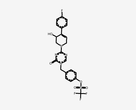 O=c1nc(N2CC=C(c3ccc(F)cc3)C(O)C2)ncn1Cc1ccc(OS(=O)(=O)C(F)(F)F)cc1